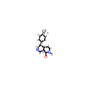 Cn1ccc2c(-c3ccc(C(F)(F)F)cc3)cncc2c1=O